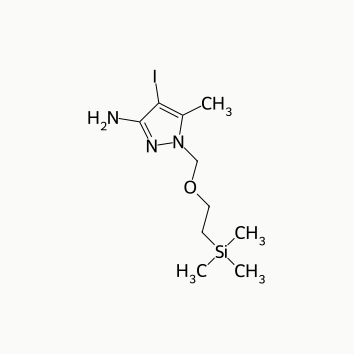 Cc1c(I)c(N)nn1COCC[Si](C)(C)C